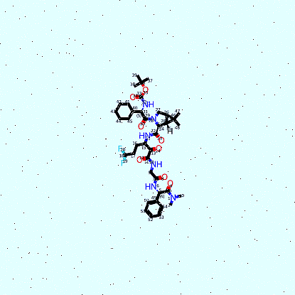 CN(C)C(=O)[C@@H](NC(=O)CNC(=O)C(=O)C(CCC(F)F)NC(=O)[C@@H]1[C@@H]2C(CN1C(=O)[C@@H](NC(=O)OC(C)(C)C)C1CCCCC1)C2(C)C)c1ccccc1